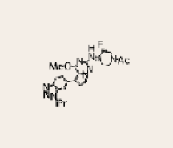 COc1nc(N[C@H]2CCN(C(C)=O)C[C@H]2F)nn2ccc(-c3ccc4nnn(C(C)C)c4c3)c12